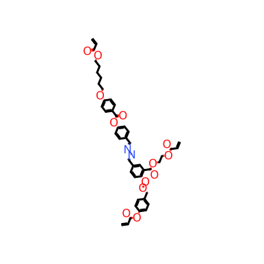 C=CC(=O)OCCCCCCOc1ccc(C(=O)Oc2ccc(/C=N/N=C/c3ccc(OOCc4ccc(OC(=O)C=C)cc4)c(C(=O)OCCOC(=O)C=C)c3)cc2)cc1